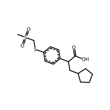 CS(=O)(=O)CSc1ccc(C(CC2CCCC2)C(=O)O)cc1